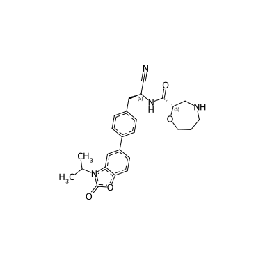 CC(C)n1c(=O)oc2ccc(-c3ccc(C[C@@H](C#N)NC(=O)[C@@H]4CNCCCO4)cc3)cc21